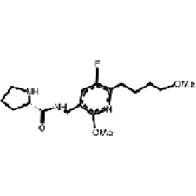 COCCCCc1nc(OC)c(CNC(=O)[C@@H]2CCCN2)cc1F